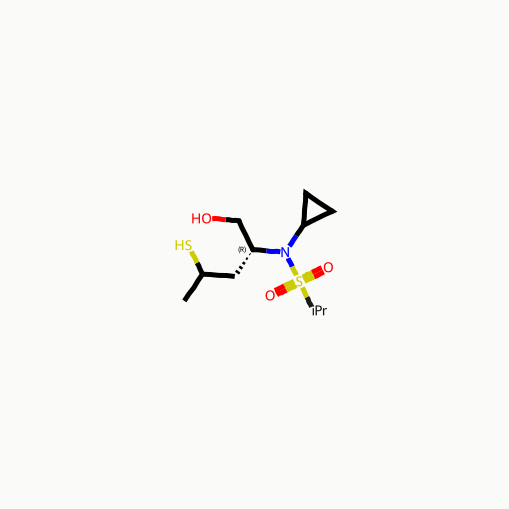 CC(S)C[C@H](CO)N(C1CC1)S(=O)(=O)C(C)C